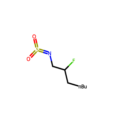 CCCCCC(F)CN=S(=O)=O